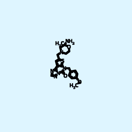 COc1ccc(Cn2c(=O)n3ncnc3c3cc(CN4CCOC(C)(N)C4)sc32)cc1